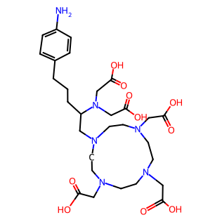 Nc1ccc(CCCC(CN2CCN(CC(=O)O)CCN(CC(=O)O)CCN(CC(=O)O)CC2)N(CC(=O)O)CC(=O)O)cc1